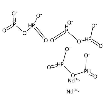 O=[PH]([O-])O[PH](=O)[O-].O=[PH]([O-])O[PH](=O)[O-].O=[PH]([O-])O[PH](=O)[O-].[Nd+3].[Nd+3]